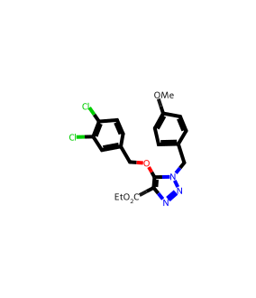 CCOC(=O)c1nnn(Cc2ccc(OC)cc2)c1OCc1ccc(Cl)c(Cl)c1